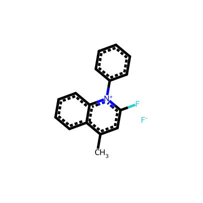 Cc1cc(F)[n+](-c2ccccc2)c2ccccc12.[F-]